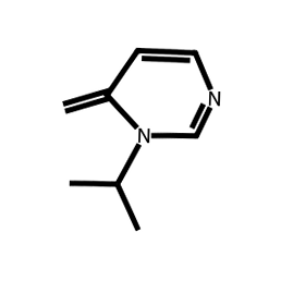 C=C1C=CN=CN1C(C)C